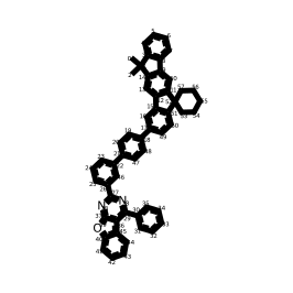 CC1(C)c2ccccc2-c2cc3c(cc21)-c1cc(-c2ccc(-c4cccc(-c5nc(-c6ccccc6)c6c(n5)oc5ccccc56)c4)cc2)ccc1C31CCCCC1